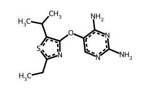 CCc1nc(Oc2cnc(N)nc2N)c(C(C)C)s1